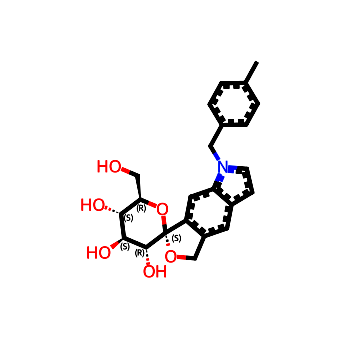 Cc1ccc(Cn2ccc3cc4c(cc32)[C@]2(OC4)O[C@H](CO)[C@@H](O)[C@H](O)[C@H]2O)cc1